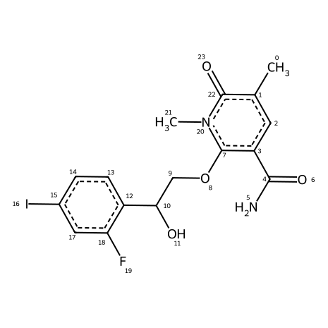 Cc1cc(C(N)=O)c(OCC(O)c2ccc(I)cc2F)n(C)c1=O